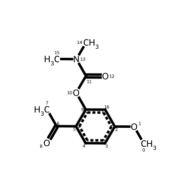 COc1ccc(C(C)=O)c(OC(=O)N(C)C)c1